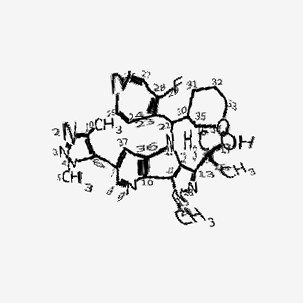 Cc1nnn(C)c1-c1cnc2c3c(c(C(C)(C)O)nn3C)n(C(c3ccncc3F)C3CCCOC3)c2c1